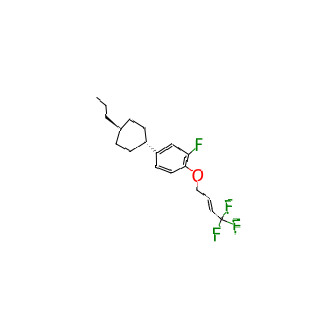 CCC[C@H]1CC[C@H](c2ccc(OCC=CC(F)(F)F)c(F)c2)CC1